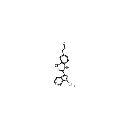 Cn1nc(C(=O)Nc2ccc(CC=O)cc2Cl)c2ccccc21